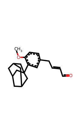 COc1ccc(C/C=C/C=O)cc1C12CC3CC(CC(C3)C1)C2